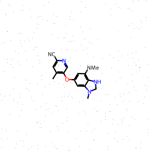 CNc1cc(Oc2cnc(C#N)cc2C)cc2c1NCN2C